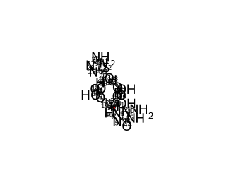 NC1=NC2C(N=CN2[C@@H]2[C@H]3C[C@@]45COP(=O)(O)O[C@H]6C[C@H](c7snc8c(N)ncnc78)O[C@@H]6COP(=O)(O)O[C@@]4([C@H]2O)[C@@H]35)C(=O)N1